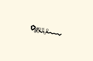 CCCCCCCCC(=O)ONCC(=O)OS(=O)(=O)c1ccccc1